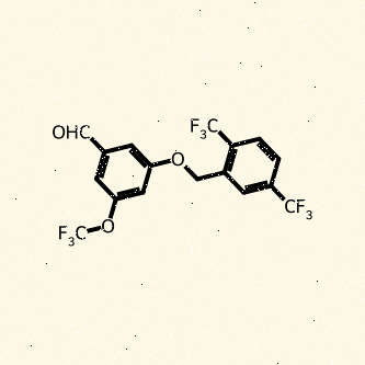 O=Cc1cc(OCc2cc(C(F)(F)F)ccc2C(F)(F)F)cc(OC(F)(F)F)c1